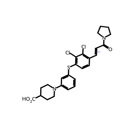 O=C(O)C1CCN(c2cccc(Sc3ccc(/C=C/C(=O)N4CCCC4)c(Cl)c3Cl)c2)CC1